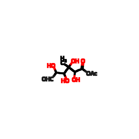 CC(=O)OC(=O)C(O)C(C)(O)C(O)C(O)C=O